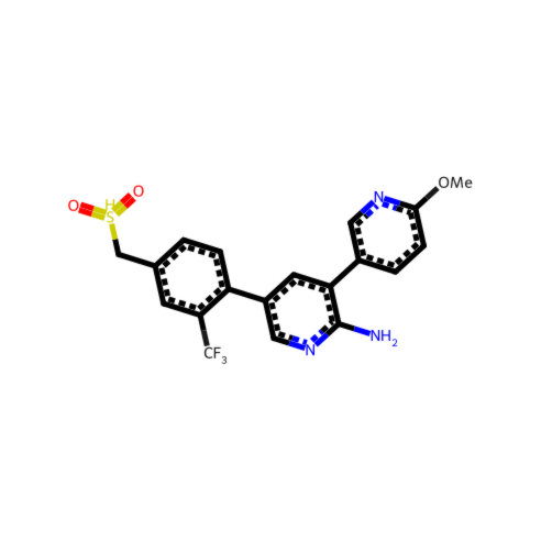 COc1ccc(-c2cc(-c3ccc(C[SH](=O)=O)cc3C(F)(F)F)cnc2N)cn1